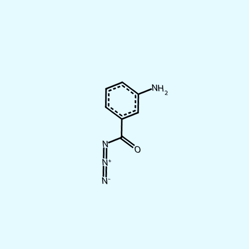 [N-]=[N+]=NC(=O)c1cccc(N)c1